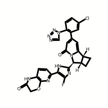 O=C1COc2nc(-c3[nH]c([C@@H]4[C@H]5CC[C@H]5c5cc(-c6cc(Cl)ccc6-n6cnnn6)cc(=O)n54)nc3F)ccc2N1